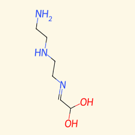 NCCNCCN=CC(O)O